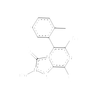 Cc1ccccc1-c1c(C(C)(C)C)nc(Cl)c2nn(C(C)(C)C)c(=O)n12